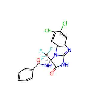 O=C(N[C@@]1(C(F)(F)F)C(=O)Nc2nc3cc(Cl)c(Cl)cc3n21)c1ccccc1